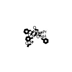 C=C1CN(C)c2c(CN3C[C@H]4N(C(=O)CN4N(CCC)C(=O)NCc4ccccc4)[C@@H](CC4C=CC=CC4)C3=O)cccc2O1